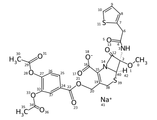 CO[C@]1(NC(=O)Cc2cccs2)C(=O)N2C(C(=O)[O-])=C(COC(=O)c3ccc(OC(C)=O)c(OC(C)=O)c3)CS[C@@H]21.[Na+]